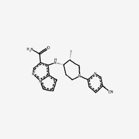 C[C@@H]1CN(c2ccc(C#N)cn2)CC[C@@H]1Nc1c(C(N)=O)cnn2cccc12